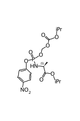 CC(C)OC(=O)OCOP(=O)(N[C@@H](C)C(=O)OC(C)C)Oc1ccc([N+](=O)[O-])cc1